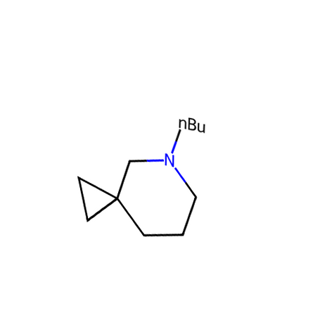 CCCCN1CCCC2(CC2)C1